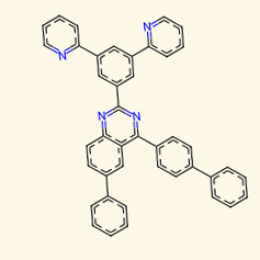 c1ccc(-c2ccc(-c3nc(-c4cc(-c5ccccn5)cc(-c5ccccn5)c4)nc4ccc(-c5ccccc5)cc34)cc2)cc1